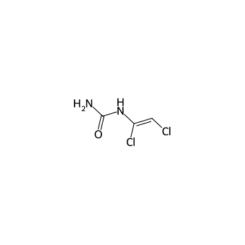 NC(=O)NC(Cl)=CCl